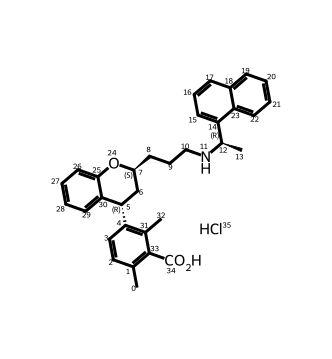 Cc1ccc([C@H]2C[C@H](CCCN[C@H](C)c3cccc4ccccc34)Oc3ccccc32)c(C)c1C(=O)O.Cl